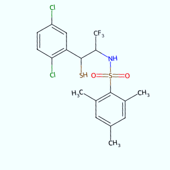 Cc1cc(C)c(S(=O)(=O)NC(C(S)c2cc(Cl)ccc2Cl)C(F)(F)F)c(C)c1